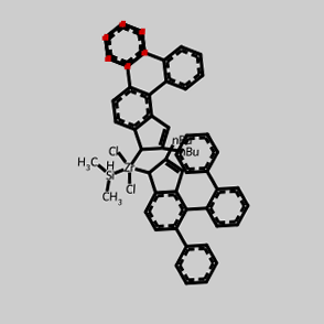 CCCCC1=Cc2c(ccc(-c3ccccc3)c2-c2ccccc2-c2ccccc2)[CH]1[Zr]([Cl])([Cl])([CH]1C(CCCC)=Cc2c1ccc(-c1ccccc1)c2-c1ccccc1-c1ccccc1)[SiH](C)C